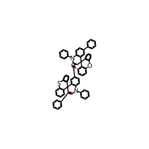 c1ccc(-c2ccc3c(c2)C2(c4ccccc4Oc4ccccc42)c2cc(-c4ccc5c(c4)C4(c6ccccc6Sc6ccccc64)c4cc(-c6ccccc6)ccc4N5c4ccccc4)ccc2N3c2ccccc2)cc1